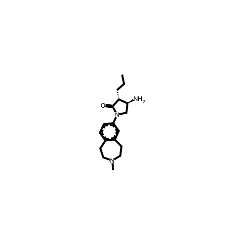 CCC[C@H]1C(=O)N(c2ccc3c(c2)CCN(C)CC3)C[C@@H]1N